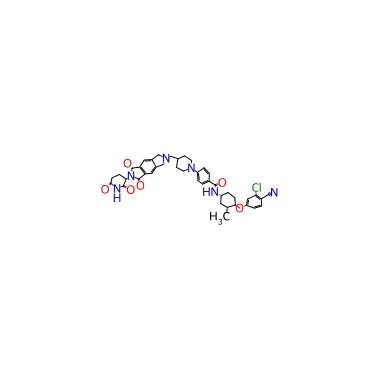 C[C@H]1C[C@H](NC(=O)c2ccc(N3CCC(CN4Cc5cc6c(cc5C4)C(=O)N(C4CCC(=O)NC4=O)C6=O)CC3)cc2)CC[C@H]1Oc1ccc(C#N)c(Cl)c1